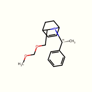 COCOCC1C2C=CC(CC2)N1[C@H](C)c1ccccc1